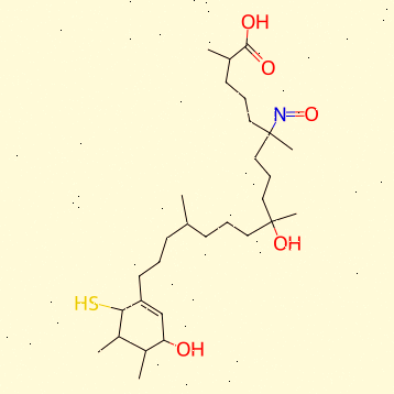 CC(CCCC1=CC(O)C(C)C(C)C1S)CCCC(C)(O)CCCC(C)(CCCC(C)C(=O)O)N=O